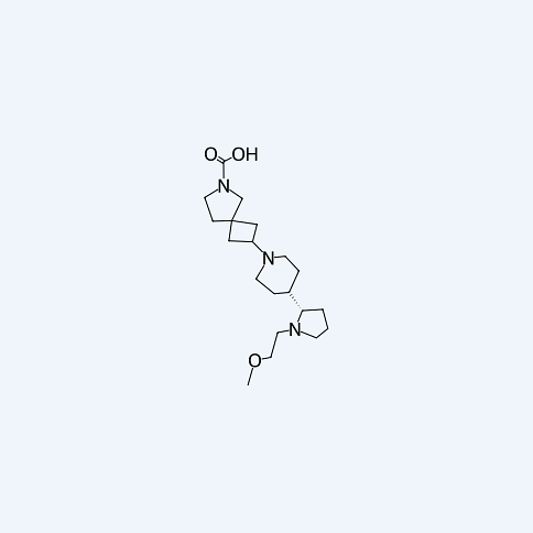 COCCN1CCC[C@H]1C1CCN(C2CC3(CCN(C(=O)O)C3)C2)CC1